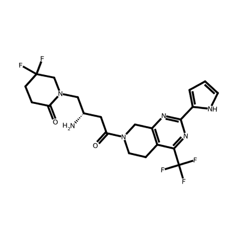 N[C@@H](CC(=O)N1CCc2c(nc(-c3ccc[nH]3)nc2C(F)(F)F)C1)CN1CC(F)(F)CCC1=O